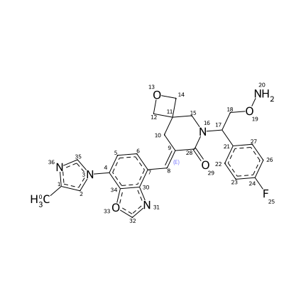 Cc1cn(-c2ccc(/C=C3\CC4(COC4)CN(C(CON)c4ccc(F)cc4)C3=O)c3ncoc23)cn1